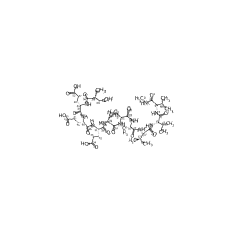 CNC(=O)[C@@H](NC(=O)[C@@H](NC(=O)[C@@H](NC(=O)[C@H](C)NC(=O)[C@H](C)NC(=O)[C@H](C)NC(=O)[C@H](CCC(=O)O)NC(=O)[C@H](CCC(=O)O)NC(=O)[C@H](CCC(=O)O)NC(=O)[C@@H](C)CO)C(C)C)C(C)C)C(C)C